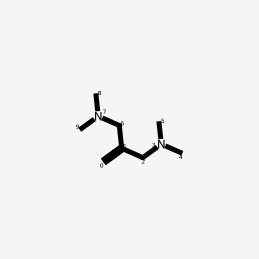 C=C(CN(C)C)CN(C)C